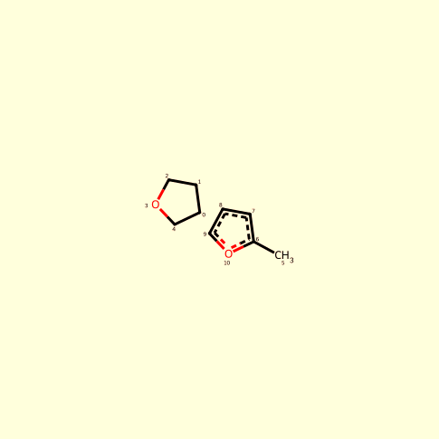 C1CCOC1.Cc1ccco1